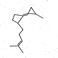 CC(C)=CCCC1CCC1=C1CC1C